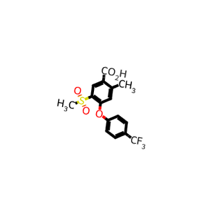 Cc1cc(Oc2ccc(C(F)(F)F)cc2)c(S(C)(=O)=O)cc1C(=O)O